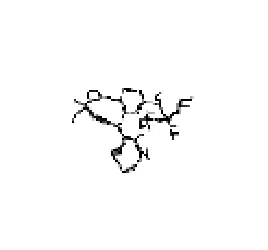 CC1(C)C=C(c2cccnc2F)c2cc(SC(F)(F)F)ccc2O1